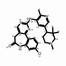 Cc1ncc(C2CCN(C)CC2(C)C)cc1Nc1ncc2c(n1)-c1ccc(Cl)cc1NC(=O)C2